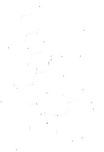 CC1(C)C(C=C(Cl)C(F)(F)F)C1C(=O)CC(C#N)c1cccc(Oc2ccccc2)c1